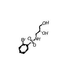 O=S(=O)(NC[C@@H](O)CO)c1ccccc1Br